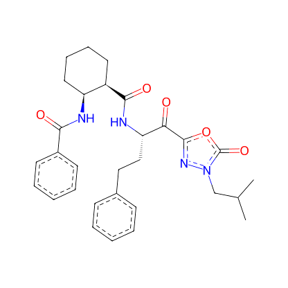 CC(C)Cn1nc(C(=O)[C@H](CCc2ccccc2)NC(=O)[C@@H]2CCCC[C@@H]2NC(=O)c2ccccc2)oc1=O